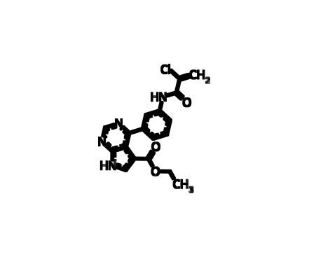 C=C(Cl)C(=O)Nc1cccc(-c2ncnc3[nH]cc(C(=O)OCC)c23)c1